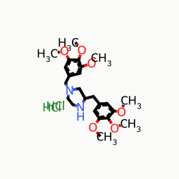 COc1cc(CC2CN(Cc3cc(OC)c(OC)c(OC)c3)CCN2)cc(OC)c1OC.Cl.Cl